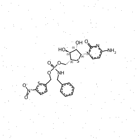 Nc1ccn([C@@H]2S[C@H](COP(=O)(NCc3ccccc3)OCc3ccc([N+](=O)[O-])s3)[C@@H](O)[C@@H]2O)c(=O)n1